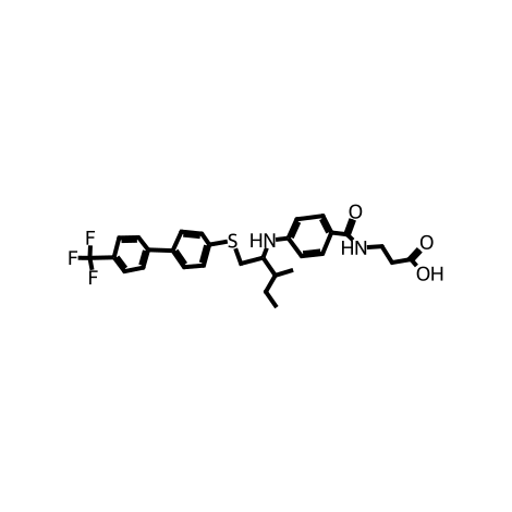 CCC(C)C(CSc1ccc(-c2ccc(C(F)(F)F)cc2)cc1)Nc1ccc(C(=O)NCCC(=O)O)cc1